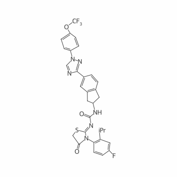 CC(C)c1cc(F)ccc1N1C(=O)CSC1=NC(=O)NC1Cc2ccc(-c3ncn(-c4ccc(OC(F)(F)F)cc4)n3)cc2C1